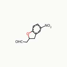 O=CCC1Cc2cc([N+](=O)[O-])ccc2O1